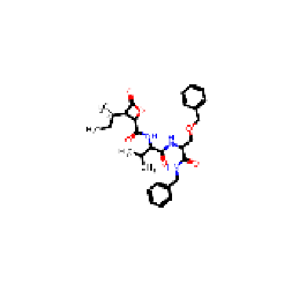 CC[C@H](C)C1C(=O)OC1C(=O)NC(C(=O)NC(COCc1ccccc1)C(=O)NCc1ccccc1)C(C)C